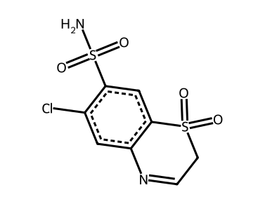 NS(=O)(=O)c1cc2c(cc1Cl)N=CCS2(=O)=O